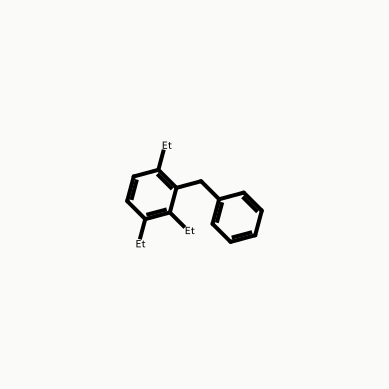 CCc1ccc(CC)c(Cc2ccccc2)c1CC